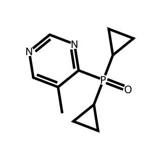 Cc1cncnc1P(=O)(C1CC1)C1CC1